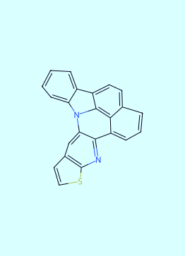 c1cc2ccc3c4ccccc4n4c5cc6ccsc6nc5c(c1)c2c34